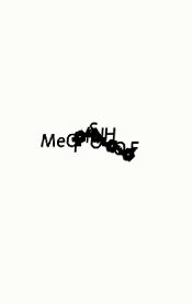 COc1ccc(C2CSC(NC(=O)/C=C/c3ccc(OCc4cccc(F)c4)cc3)=N2)cc1F